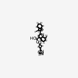 Cc1c(-c2cc(C(=O)O)c3c(OC4CC(c5nnco5)C4)ccc(C)c3n2)oc2ccccc12